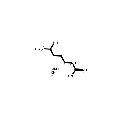 N=C(N)NCCCC(N)C(=O)O.[KH].[KH]